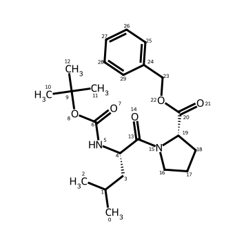 CC(C)C[C@H](NC(=O)OC(C)(C)C)C(=O)N1CCC[C@H]1C(=O)OCc1ccccc1